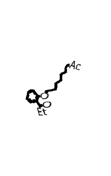 CCC(=O)c1ccccc1OCCCCCCCC(C)=O